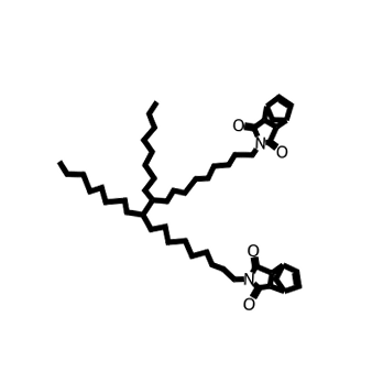 CCCCCCCCC(CCCCCCCCCN1C(=O)C2C3C=CC(C3)C2C1=O)C(CCCCCCCC)CCCCCCCCCN1C(=O)C2C3C=CC(C3)C2C1=O